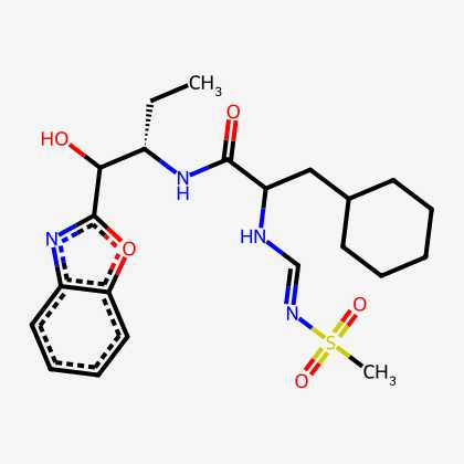 CC[C@H](NC(=O)C(CC1CCCCC1)NC=NS(C)(=O)=O)C(O)c1nc2ccccc2o1